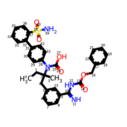 CCC(C)(Cc1cccc(C(=N)NC(=O)OCc2ccccc2)c1)N(C(=O)O)c1ccc(-c2ccccc2S(N)(=O)=O)cc1